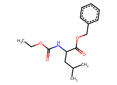 CCOC(=O)NC(CC(C)C)C(=O)OCc1ccccc1